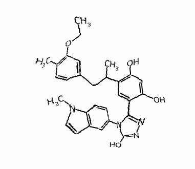 CCOc1cc(CC(C)c2cc(-c3nnc(O)n3-c3ccc4c(ccn4C)c3)c(O)cc2O)ccc1C